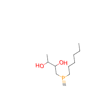 C#P(CCCCCC)CC(O)C(C)O